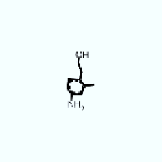 Cc1cc(N)ccc1CCO